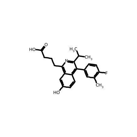 Cc1cc(-c2c(C(C)C)nc(CCCC(=O)O)c3cc(O)ccc23)ccc1F